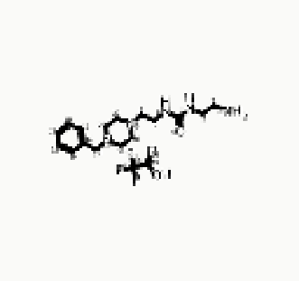 NCCNC(=O)NCCN1CCN(Cc2ccccc2)CC1.O=C(O)C(F)(F)F